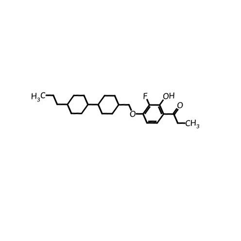 CCCC1CCC(C2CCC(COc3ccc(C(=O)CC)c(O)c3F)CC2)CC1